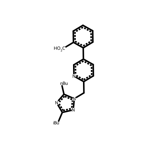 CCCCc1nc(C(C)CC)nn1Cc1ccc(-c2ccccc2C(=O)O)cn1